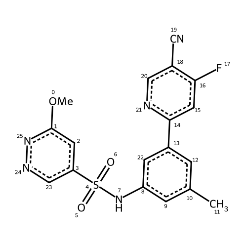 COc1cc(S(=O)(=O)Nc2cc(C)cc(-c3cc(F)c(C#N)cn3)c2)cnn1